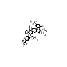 Cc1cc(F)cc([C@]2(N(C)C)CC[C@]3(CC2)CN(c2cnc(C(F)(F)F)cc2C)C(=O)N3)c1